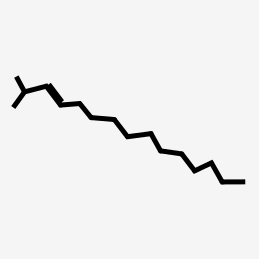 CCCCCCCCCCC/C=C/C(C)C